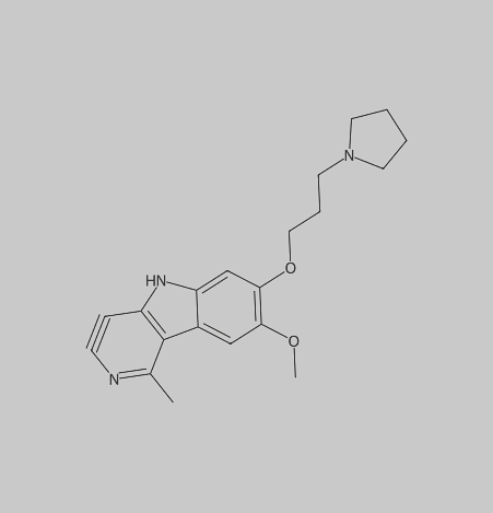 COc1cc2c(cc1OCCCN1CCCC1)[nH]c1c#cnc(C)c12